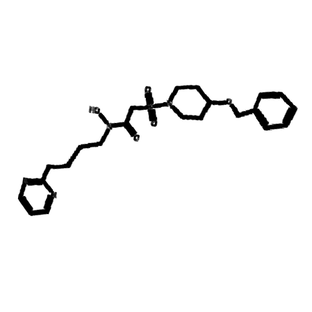 O=C(CS(=O)(=O)N1CCC(OCc2ccccc2)CC1)N(O)CCCCc1ncccn1